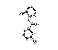 O=C(Cn1ccccc1=O)c1cccc(O)c1